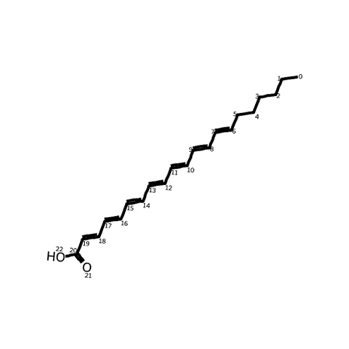 CCCCCC/C=C/C=C/C=C/C=C/C=C/C=C/C=C/C(=O)O